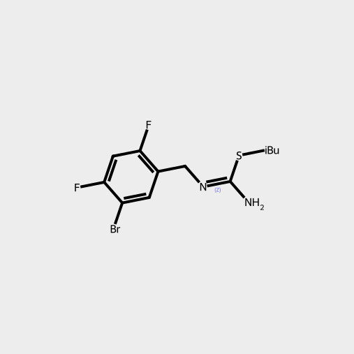 CCC(C)S/C(N)=N\Cc1cc(Br)c(F)cc1F